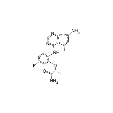 Cc1cc(N)cc2ncnc(Nc3ccc(F)cc3O[C@H](C)C(N)=O)c12